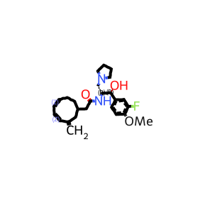 C=C1/C=C\C=C/CCC(CC(=O)N[C@H](CN2CCCC2)[C@H](O)c2ccc(OC)c(F)c2)C1